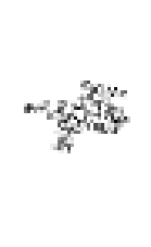 COC(=O)[C@H](Cc1ccc(OC(=O)CCC(C)C)c(OC(=O)CCC(C)C)c1)NCC(C)OC(=O)OCC(C)C